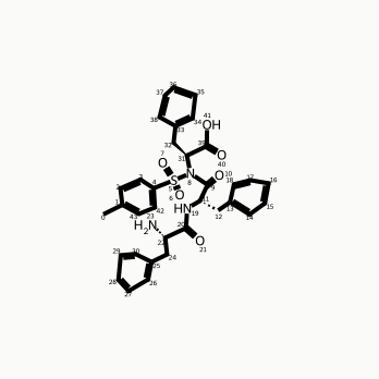 Cc1ccc(S(=O)(=O)N(C(=O)[C@H](Cc2ccccc2)NC(=O)[C@@H](N)Cc2ccccc2)[C@@H](Cc2ccccc2)C(=O)O)cc1